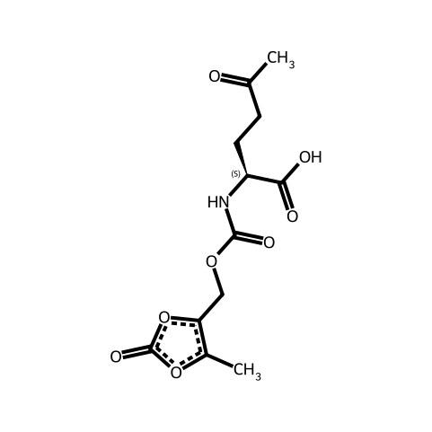 CC(=O)CC[C@H](NC(=O)OCc1oc(=O)oc1C)C(=O)O